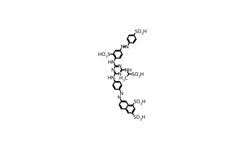 CC(Nc1nc(Nc2ccc(N=Nc3ccc4cc(S(=O)(=O)O)cc(S(=O)(=O)O)c4c3)cc2)nc(Nc2ccc(N=Nc3ccc(S(=O)(=O)O)cc3)cc2S(=O)(=O)O)n1)S(=O)(=O)O